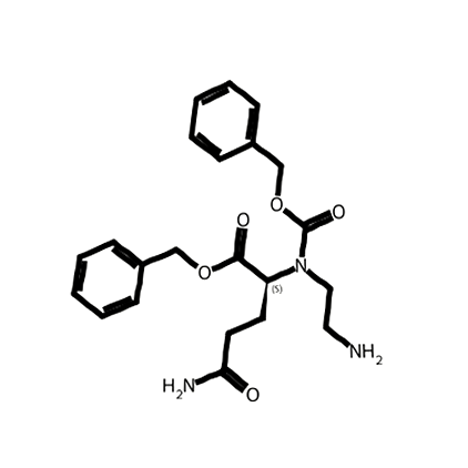 NCCN(C(=O)OCc1ccccc1)[C@@H](CCC(N)=O)C(=O)OCc1ccccc1